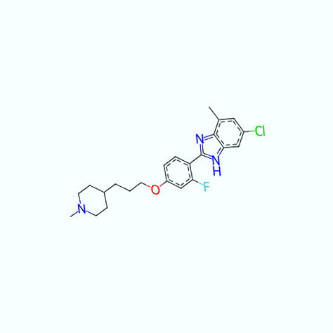 Cc1cc(Cl)cc2[nH]c(-c3ccc(OCCCC4CCN(C)CC4)cc3F)nc12